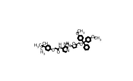 COc1ccc(C(OC[C@H]2[CH]C[C@H](n3nnc4c(NC(=O)COc5ccc(C(C)(C)C)cc5)ccnc43)O2)(c2ccccc2)c2ccc(OC)cc2)cc1